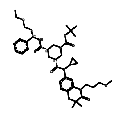 CCOCC[C@H](NC(=O)[C@H]1C[C@@H](C(=O)N(c2ccc3c(c2)N(CCCOC)C(=O)C(C)(C)O3)C2CC2)CN(C(=O)OC(C)(C)C)C1)c1ccccc1